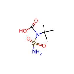 CC(C)(C)N(C(=O)O)S(N)(=O)=O